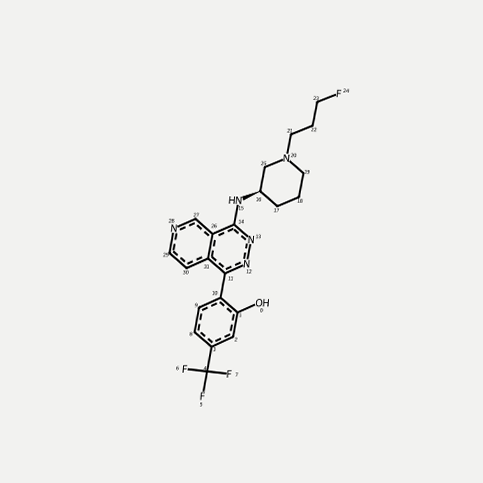 Oc1cc(C(F)(F)F)ccc1-c1nnc(N[C@@H]2CCCN(CCCF)C2)c2cnccc12